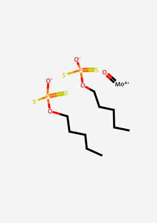 CCCCCOP([O-])(=S)[S-].CCCCCOP([O-])(=S)[S-].[O]=[Mo+4]